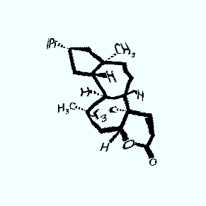 CC(C)[C@H]1C[C@H]2[C@@H]3[C@@H](C)C[C@H]4OC(=O)C=C[C@]4(C)[C@H]3CC[C@]2(C)C1